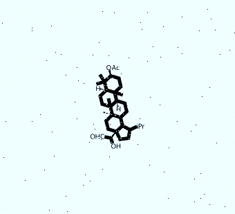 CC(=O)O[C@H]1CCC2(C)[C@H]3CCC4C5C(C(C)C)CC[C@]5(C(O)C=O)CC[C@@]4(C)C3(C)CC[C@H]2C1(C)C